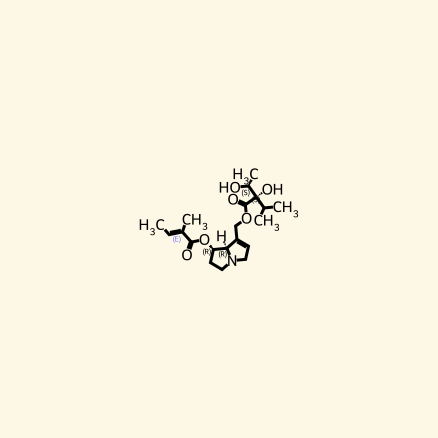 C/C=C(\C)C(=O)O[C@@H]1CCN2CC=C(COC(=O)[C@](O)(C(C)C)[C@H](C)O)[C@H]12